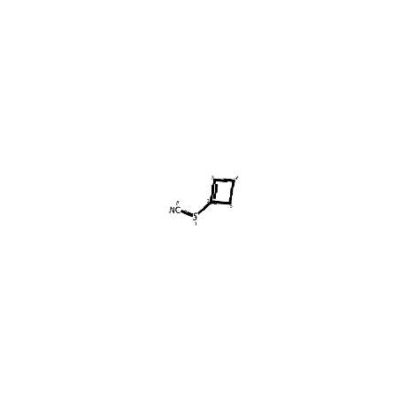 N#CSC1=CCC1